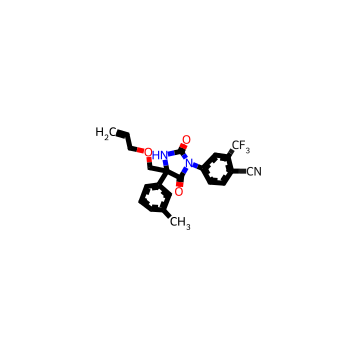 C=CCOCC1(c2cccc(C)c2)NC(=O)N(c2ccc(C#N)c(C(F)(F)F)c2)C1=O